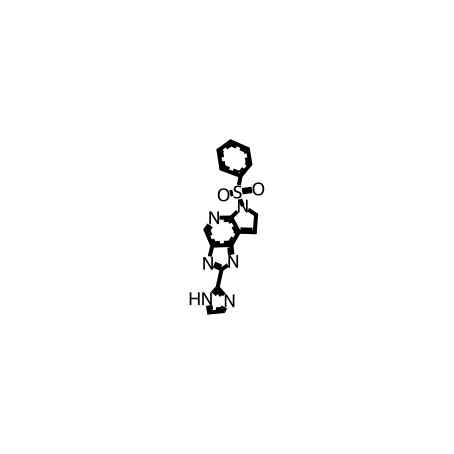 O=S(=O)(c1ccccc1)N1CC=c2c1ncc1c2=NC(c2ncc[nH]2)=N1